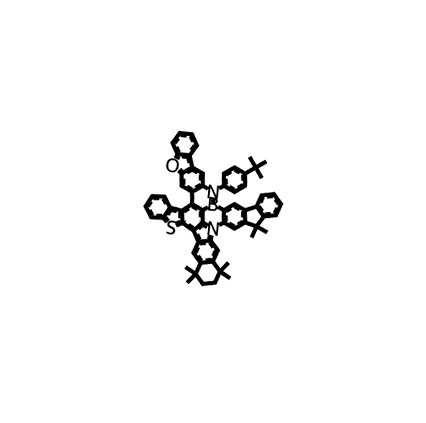 CC(C)(C)c1ccc(N2B3c4cc5c(cc4-n4c6cc7c(cc6c6c8sc9ccccc9c8c(c3c64)-c3cc4oc6ccccc6c4cc32)C(C)(C)CCC7(C)C)C(C)(C)c2ccccc2-5)cc1